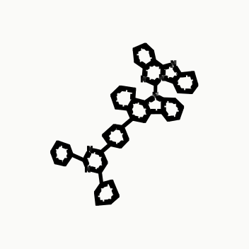 c1ccc(-c2cc(-c3ccc(-c4cc5c6ccccc6n(-c6nc7ccccc7c7nc8ccccc8n67)c5c5ccccc45)cc3)nc(-c3ccccc3)n2)cc1